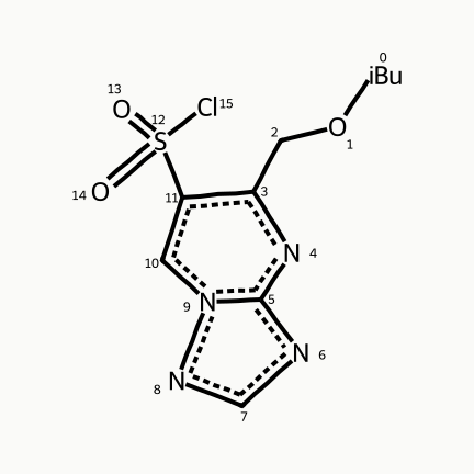 CCC(C)OCc1nc2ncnn2cc1S(=O)(=O)Cl